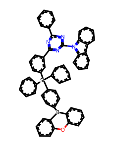 c1ccc(-c2nc(-c3cccc([Si](c4ccccc4)(c4ccccc4)c4ccc(B5c6ccccc6Oc6ccccc65)cc4)c3)nc(-n3c4ccccc4c4ccccc43)n2)cc1